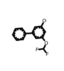 [O]c1cc(OC(F)F)cc(-c2ccccc2)c1